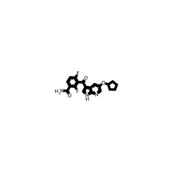 NC(=O)c1ccc(F)c(C(=O)c2c[nH]c3ncc(OC4CCCC4)cc23)c1F